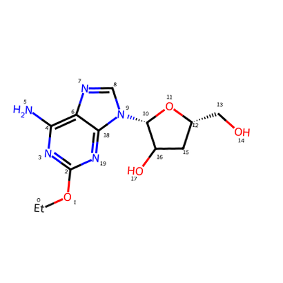 CCOc1nc(N)c2ncn([C@@H]3O[C@H](CO)CC3O)c2n1